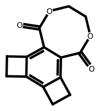 O=C1OCCOC(=O)c2c3c(c4c(c21)CC4)CC3